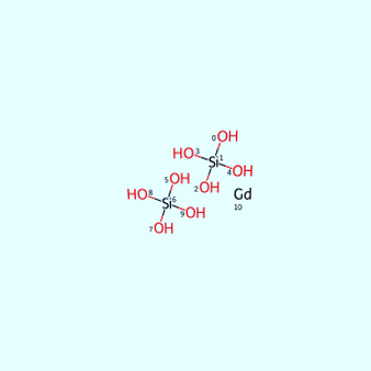 O[Si](O)(O)O.O[Si](O)(O)O.[Gd]